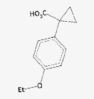 CCOc1ccc(C2(C(=O)O)CC2)cc1